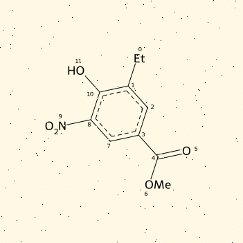 CCc1cc(C(=O)OC)cc([N+](=O)[O-])c1O